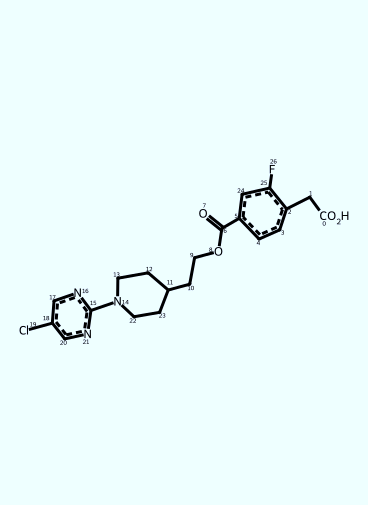 O=C(O)Cc1ccc(C(=O)OCCC2CCN(c3ncc(Cl)cn3)CC2)cc1F